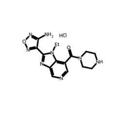 CCn1c(-c2nonc2N)nc2cncc(C(=O)N3CCNCC3)c21.Cl